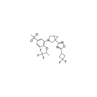 CC(Oc1[c]cc(S(C)(=O)=O)cc1N1CC2CC2(c2noc(C3CC(F)(F)C3)n2)C1)C(F)(F)F